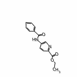 CCOC(=O)c1ccc(NC(=O)c2ccccc2)cn1